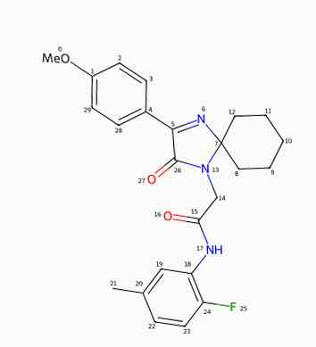 COc1ccc(C2=NC3(CCCCC3)N(CC(=O)Nc3cc(C)ccc3F)C2=O)cc1